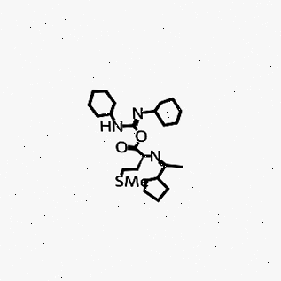 CSCC[C@H](/N=C(/C)C1CCCC1)C(=O)O/C(=N\C1CCCCC1)NC1CCCCC1